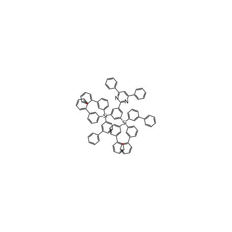 c1ccc(-c2cccc([Si](c3cccc(-c4ccccc4)c3)(c3cccc(-c4ccccc4)c3)c3cc(-c4nc(-c5ccccc5)cc(-c5ccccc5)n4)cc([Si](c4cccc(-c5ccccc5)c4)(c4cccc(-c5ccccc5)c4)c4cccc(-c5ccccc5)c4)c3)c2)cc1